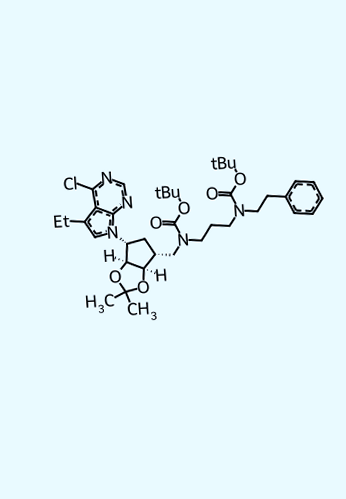 CCc1cn([C@@H]2C[C@H](CN(CCCN(CCc3ccccc3)C(=O)OC(C)(C)C)C(=O)OC(C)(C)C)[C@H]3OC(C)(C)O[C@H]32)c2ncnc(Cl)c12